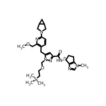 COCc1nc(N2CC3CC3C2)ccc1Cc1cc(C(=O)N[C@@H]2CCc3c2ncn3C)nn1COCC[Si](C)(C)C